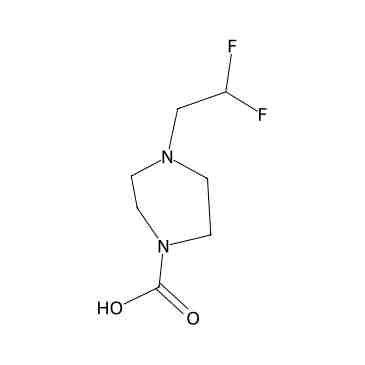 O=C(O)N1CCN(CC(F)F)CC1